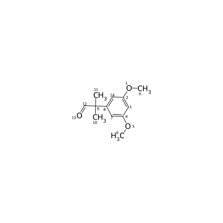 COc1cc(OC)cc(C(C)(C)C=O)c1